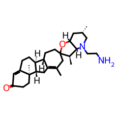 CC1=C2C[C@H]3[C@@H](CCC4=CC(=O)CC[C@@]43C)[C@@H]2CCC2(C1)O[C@@H]1C[C@H](C)CN(CCN)[C@H]1[C@H]2C